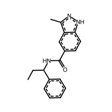 CCC(NC(=O)c1ccc2[nH]nc(C)c2c1)c1ccccc1